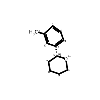 Cc1cccc([C@H]2CCCCO2)c1